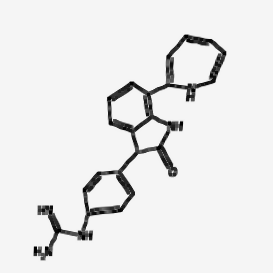 N=C(N)Nc1ccc(C2C(=O)Nc3c(C4=CC=CC=CN4)cccc32)cc1